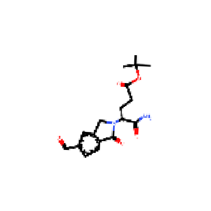 CC(C)(C)OC(=O)CC[C@@H](C(N)=O)N1Cc2cc(C=O)ccc2C1=O